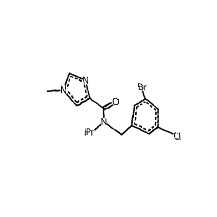 CC(C)N(Cc1cc(Cl)cc(Br)c1)C(=O)c1cn(C)cn1